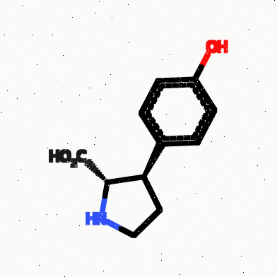 O=C(O)[C@H]1NCC[C@@H]1c1ccc(O)cc1